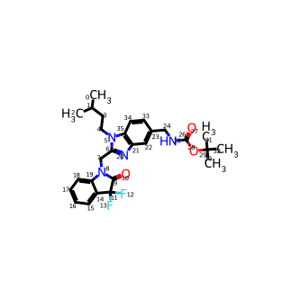 CC(C)CCn1c(CN2C(=O)C(F)(F)c3ccccc32)nc2cc(CNC(=O)OC(C)(C)C)ccc21